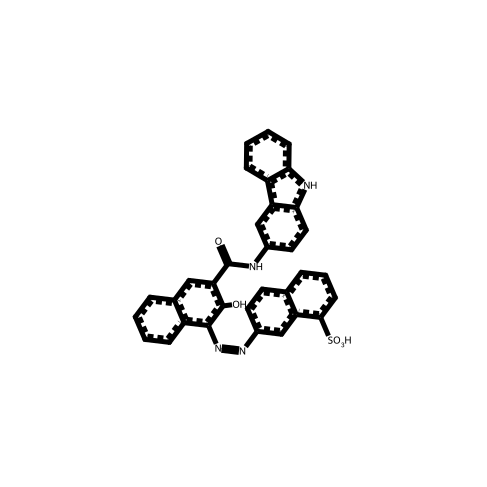 O=C(Nc1ccc2[nH]c3ccccc3c2c1)c1cc2ccccc2c(/N=N\c2ccc3cccc(S(=O)(=O)O)c3c2)c1O